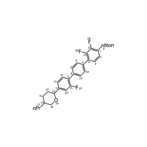 CCCCCCCCCc1ccc(-c2ccc(-c3ccc(C4CCC(CCC)CO4)cc3F)cc2)c(F)c1F